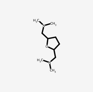 CN(C)CC1CCC(CN(C)C)O1